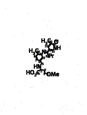 COCCC(NCc1ccc(C)c(/N=C(/c2c[nH]c(=O)c(C)c2)C(C)C)c1)C(=O)O